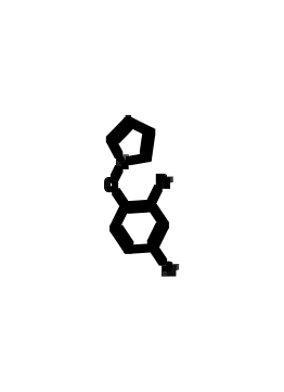 Brc1ccc(On2c[c]cc2)c(Br)c1